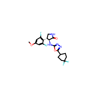 COc1cc(F)c([C@@H]2CNC(=O)[C@H]2Nc2nnc(C3CCC(F)(F)CC3)o2)c(F)c1